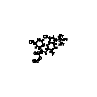 CC(C)[Si](C(C)C)(C(C)C)n1cc(Cl)c2cc(CN(C(=O)OC(C)(C)C)c3cc(Cl)ncn3)c(F)cc21